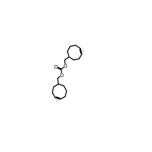 O=C(OCC1CC/C=C\CCC1)OCC1CC/C=C\CCC1